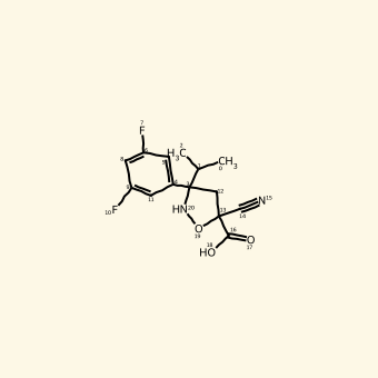 CC(C)C1(c2cc(F)cc(F)c2)CC(C#N)(C(=O)O)ON1